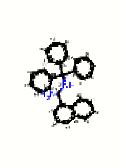 NC(NC(c1ccccc1)(c1ccccc1)c1ccccc1)c1cccc2ccccc12